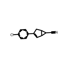 N#CC1C2C=C(c3ccc(Cl)cc3)CC12